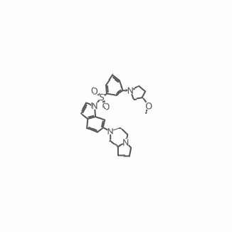 COC1CCN(c2cccc(S(=O)(=O)n3ccc4ccc(N5CCN6CCCC6C5)cc43)c2)C1